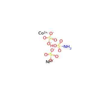 NS(=O)(=O)O.O=S(=O)([O-])[O-].O=S(=O)([O-])[O-].[Co+2].[Ni+2]